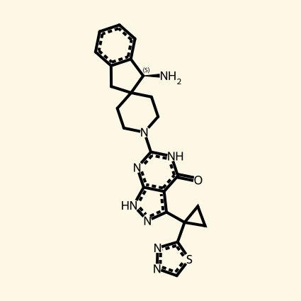 N[C@@H]1c2ccccc2CC12CCN(c1nc3[nH]nc(C4(c5nncs5)CC4)c3c(=O)[nH]1)CC2